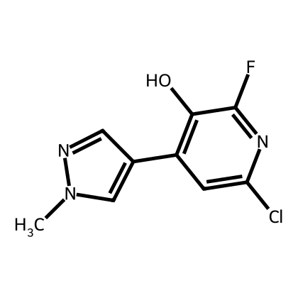 Cn1cc(-c2cc(Cl)nc(F)c2O)cn1